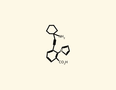 NC1(C#Cc2cccc(C(=O)O)c2-n2cccc2)CCCCC1